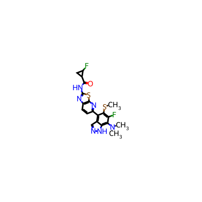 CSc1c(F)c(N(C)C)c2[nH]ncc2c1-c1ccc2nc(NC(=O)C3CC3F)sc2n1